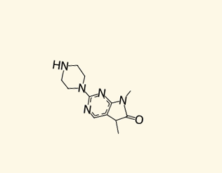 CC1C(=O)N(C)c2nc(N3CCNCC3)ncc21